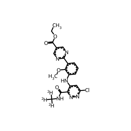 [2H]C([2H])([2H])NC(=O)c1nnc(Cl)cc1Nc1cccc(-c2ncc(C(=O)OCC)cn2)c1OC